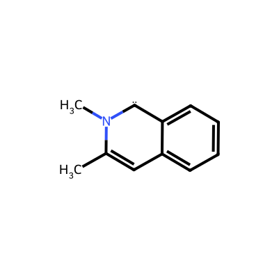 CC1=Cc2ccccc2[C]N1C